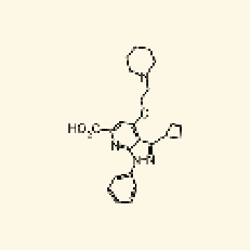 O=C(O)c1cc(OCCN2CCCCC2)c2c(C3CCC3)nn(-c3ccccc3)c2n1